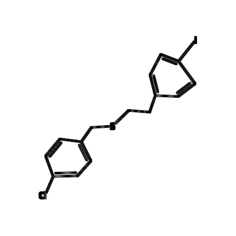 Clc1ccc(CSCCc2ccc(I)cc2)cc1